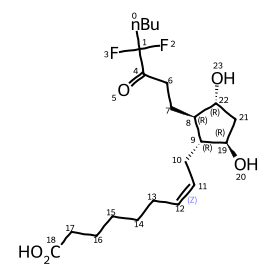 CCCCC(F)(F)C(=O)CC[C@@H]1[C@@H](C/C=C\CCCCCC(=O)O)[C@H](O)C[C@H]1O